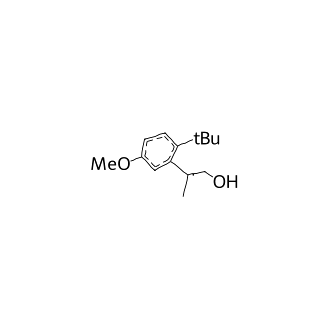 COc1ccc(C(C)(C)C)c([C](C)CO)c1